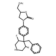 CC(=O)OCC1CN(c2ccc(C3(Cc4ccccc4)C(F)CNCC3F)cc2)C(=O)O1